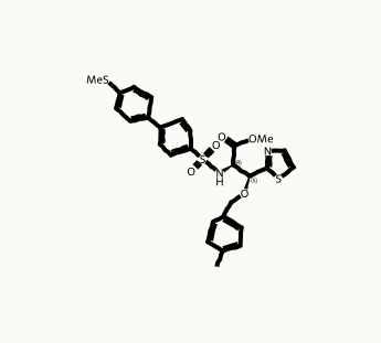 COC(=O)[C@H](NS(=O)(=O)c1ccc(-c2ccc(SC)cc2)cc1)[C@H](OCc1ccc(C)cc1)c1nccs1